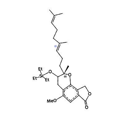 CC[Si](CC)(CC)OC1Cc2c(OC)cc3c(c2O[C@@]1(C)CC/C=C(\C)CCC=C(C)C)COC3=O